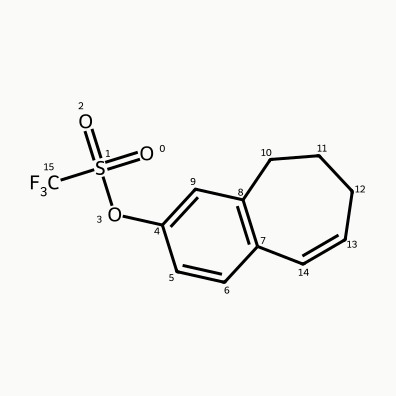 O=S(=O)(Oc1ccc2c(c1)CCCC=C2)C(F)(F)F